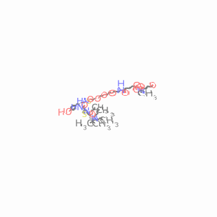 CCCCN(CCC)C(C[C@@H](OCCC)c1nc(C(=O)N[C@H](CCNSOCCOCCOCCOCCNC(=O)CCCC(=O)ON(C)C(=O)CCC=O)Cc2ccc(O)cc2)cs1)C(C)C